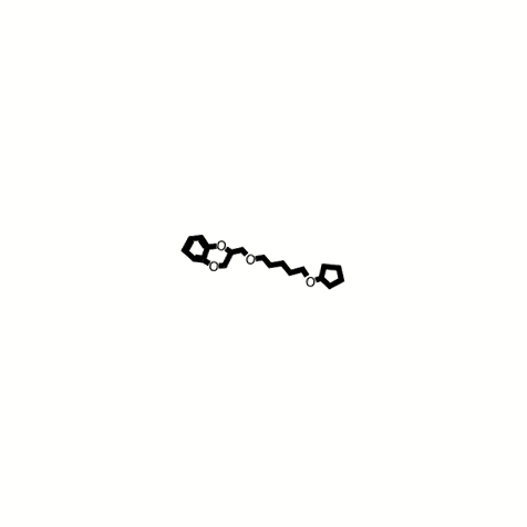 c1ccc2c(c1)OCC(COCCCCCOC1CCCC1)O2